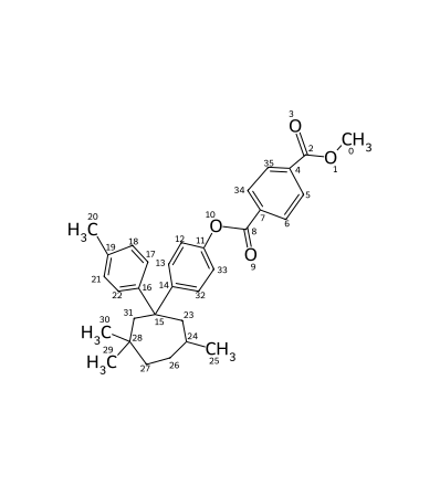 COC(=O)c1ccc(C(=O)Oc2ccc(C3(c4ccc(C)cc4)CC(C)CCC(C)(C)C3)cc2)cc1